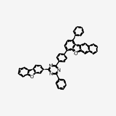 c1ccc(-c2nc(-c3ccc(-c4ccc(-c5ccccc5)c5c4oc4cc6ccccc6cc45)cc3)nc(-c3ccc4c(c3)oc3ccccc34)n2)cc1